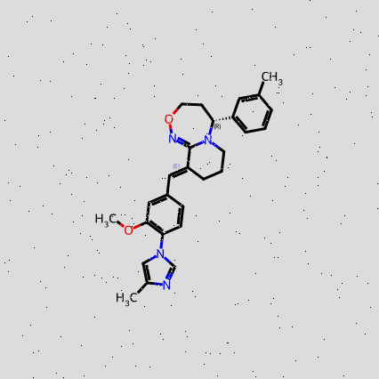 COc1cc(/C=C2\CCCN3C2=NOCC[C@@H]3c2cccc(C)c2)ccc1-n1cnc(C)c1